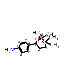 C[Si]1(C)CCC(c2ccc(N)cc2)O[Si]1(C)C